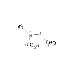 CC(C)N(CC=O)C(=O)O